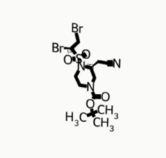 CC(C)(C)OC(=O)N1CCN(S(=O)(=O)[C@@H](Br)CBr)[C@@H](CC#N)C1